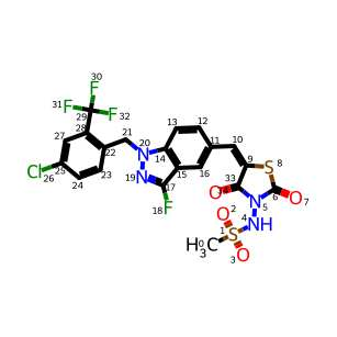 CS(=O)(=O)NN1C(=O)SC(=Cc2ccc3c(c2)c(F)nn3Cc2ccc(Cl)cc2C(F)(F)F)C1=O